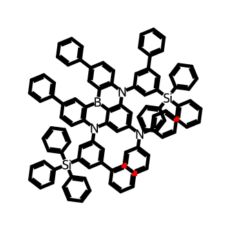 c1ccc(-c2cc(N3c4ccc(-c5ccccc5)cc4B4c5cc(-c6ccccc6)ccc5N(c5cc(-c6ccccc6)cc([Si](c6ccccc6)(c6ccccc6)c6ccccc6)c5)c5cc(N(c6ccccc6)c6ccccc6)cc3c54)cc([Si](c3ccccc3)(c3ccccc3)c3ccccc3)c2)cc1